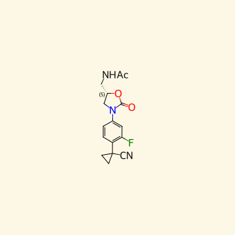 CC(=O)NC[C@H]1CN(c2ccc(C3(C#N)CC3)c(F)c2)C(=O)O1